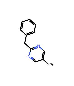 CC(C)c1cnc(Cc2ccccc2)nc1